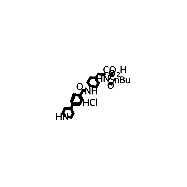 CCCCS(=O)(=O)NC(C[C@H]1CC[C@H](NC(=O)c2ccc(C3CCNCC3)cc2)CC1)C(=O)O.Cl